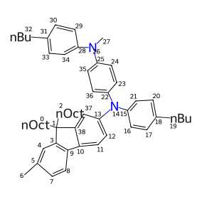 CCCCCCCCC1(CCCCCCCC)c2cc(C)ccc2-c2ccc(N(c3ccc(CCCC)cc3)c3ccc(N(C)c4ccc(CCCC)cc4)cc3)cc21